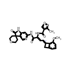 COc1cccc2c1/C(=C/C=C(NC(=O)c1conc1C)C(=O)Nc1cc3c(cn1)C1(CCOCC1)C(=O)N3)C2